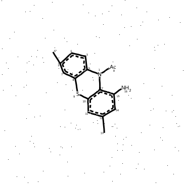 CC(=O)N1c2ccc(C)cc2Sc2cc(C)cc(N)c21